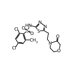 Cc1cc(Cl)cc(Cl)c1S(=O)(=O)Nc1nnc(CCN2CCOCC2=O)s1